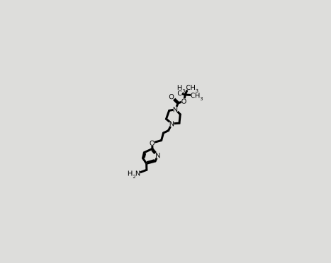 CC(C)(C)OC(=O)N1CCN(CCCOc2ccc(CN)cn2)CC1